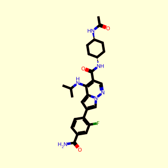 CC(=O)N[C@H]1CC[C@H](NC(=O)c2cnn3cc(-c4ccc(C(N)=O)cc4F)cc3c2NC(C)C)CC1